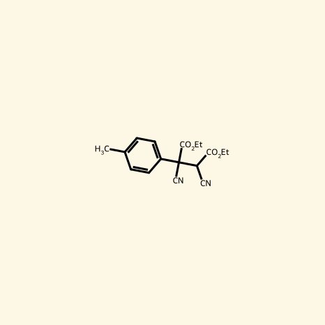 CCOC(=O)C(C#N)C(C#N)(C(=O)OCC)c1ccc(C)cc1